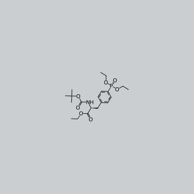 CCOC(=O)[C@H](Cc1ccc(P(=O)(OCC)OCC)cc1)NC(=O)OC(C)(C)C